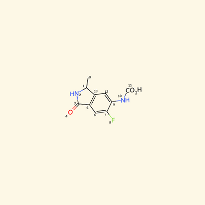 CC1NC(=O)c2cc(F)c(NC(=O)O)cc21